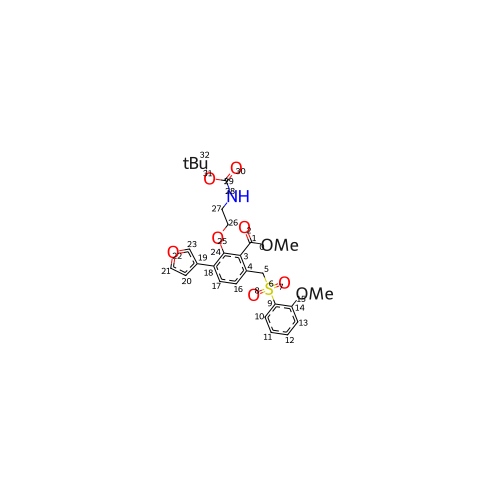 COC(=O)c1c(CS(=O)(=O)c2ccccc2OC)ccc(-c2ccoc2)c1OCCNC(=O)OC(C)(C)C